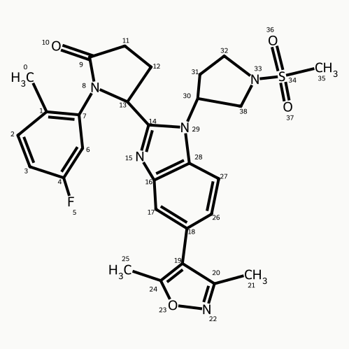 Cc1ccc(F)cc1N1C(=O)CCC1c1nc2cc(-c3c(C)noc3C)ccc2n1C1CCN(S(C)(=O)=O)C1